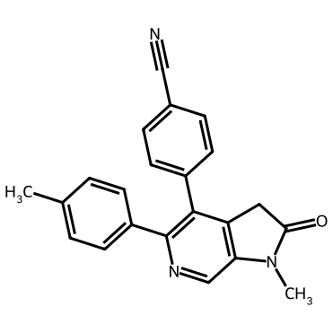 Cc1ccc(-c2ncc3c(c2-c2ccc(C#N)cc2)CC(=O)N3C)cc1